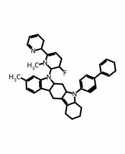 Cc1ccc2c(c1)N(C1C(F)CC=C(C3CC=CC=N3)N1C)C1CC3C(=C4CCCCC4N3c3c#cc(C4=CCCC=C4)cc3)CC21